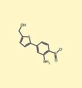 Nc1cc(-c2ccc(CO)s2)ccc1[N+](=O)[O-]